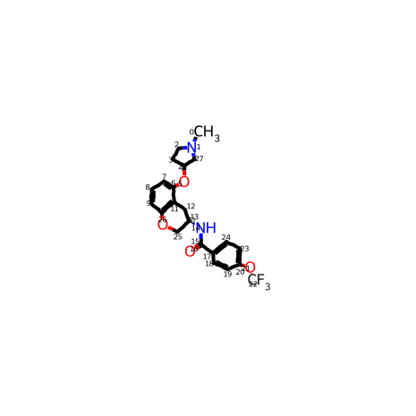 CN1CCC(Oc2cccc3c2C[C@H](NC(=O)c2ccc(OC(F)(F)F)cc2)CO3)C1